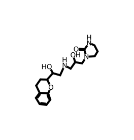 O=C1NCCCN1CC(O)CNCC(O)C1CCc2ccccc2O1